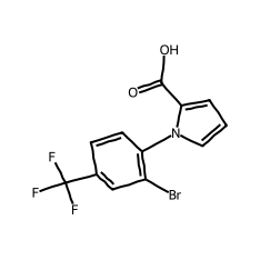 O=C(O)c1cccn1-c1ccc(C(F)(F)F)cc1Br